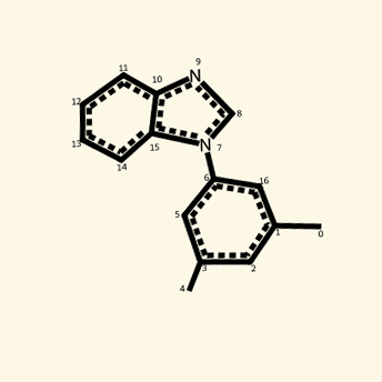 Cc1cc(C)cc(-n2cnc3ccccc32)c1